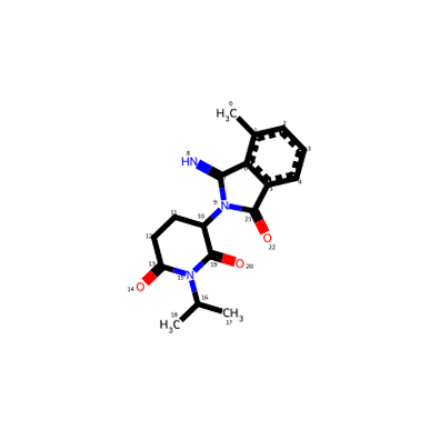 Cc1cccc2c1C(=N)N(C1CCC(=O)N(C(C)C)C1=O)C2=O